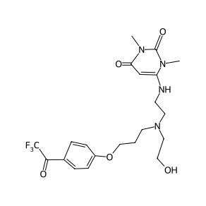 Cn1c(NCCN(CCO)CCCOc2ccc(C(=O)C(F)(F)F)cc2)cc(=O)n(C)c1=O